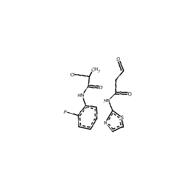 CC(Cl)C(=O)Nc1ccccc1F.O=CCC(=O)Nc1nccs1